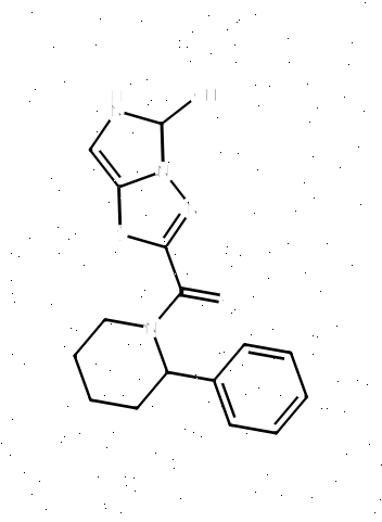 CC1NC=C2SC(C(=O)N3CCCCC3c3ccccc3)=NN21